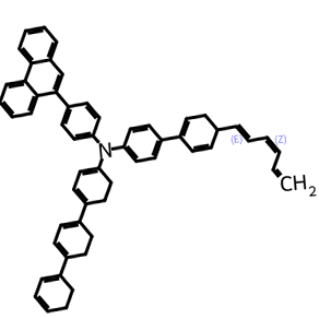 C=C/C=C\C=C\C1C=CC(c2ccc(N(C3=CC=C(C4=CC=C(C5=CC=CCC5)CC4)CC3)c3ccc(-c4cc5ccccc5c5ccccc45)cc3)cc2)=CC1